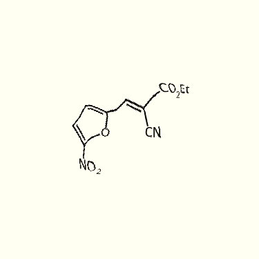 CCOC(=O)C(C#N)=Cc1ccc([N+](=O)[O-])o1